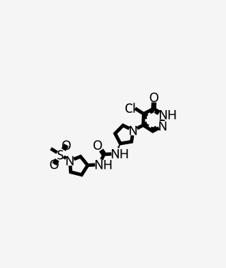 CS(=O)(=O)N1CCC(NC(=O)N[C@@H]2CCN(c3cn[nH]c(=O)c3Cl)C2)C1